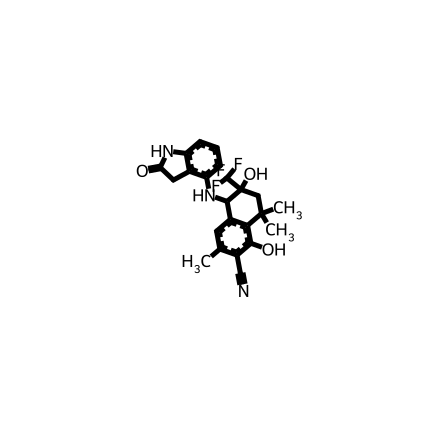 Cc1cc2c(c(O)c1C#N)C(C)(C)CC(O)(C(F)(F)F)C2Nc1cccc2c1CC(=O)N2